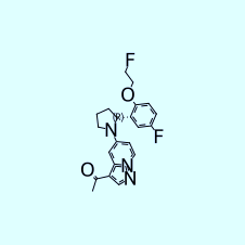 CC(=O)c1cnn2ccc(N3CCC[C@@H]3c3cc(F)ccc3OCCF)cc12